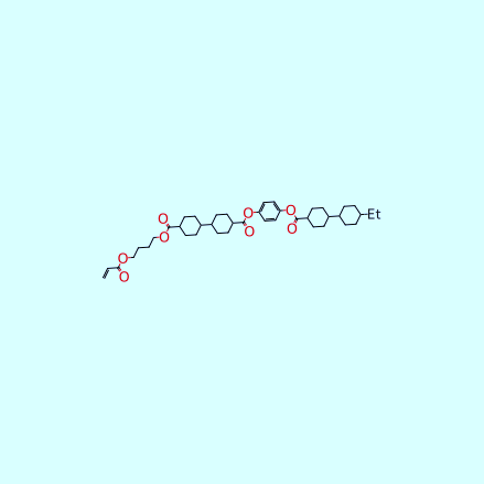 C=CC(=O)OCCCCOC(=O)C1CCC(C2CCC(C(=O)Oc3ccc(OC(=O)C4CCC(C5CCC(CC)CC5)CC4)cc3)CC2)CC1